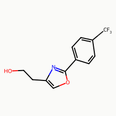 OCCc1coc(-c2ccc(C(F)(F)F)cc2)n1